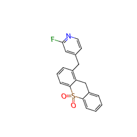 O=S1(=O)c2ccccc2Cc2c(Cc3ccnc(F)c3)cccc21